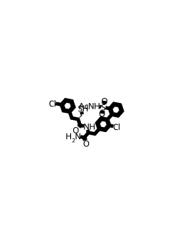 CC(=O)NS(=O)(=O)c1ccccc1-c1ccc(CC(NC(=O)[C@@H](CS)Cc2cccc(Cl)c2)C(N)=O)cc1Cl